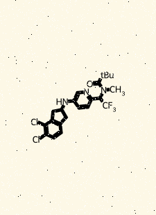 CN(C(=O)C(C)(C)C)C(c1ccc(NC2Cc3ccc(Cl)c(Cl)c3C2)cn1)C(F)(F)F